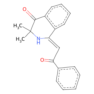 CC1(C)NC(=CC(=O)c2ccccc2)c2ccccc2C1=O